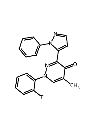 Cc1cn(-c2ccccc2F)nc(-c2ccnn2-c2ccccc2)c1=O